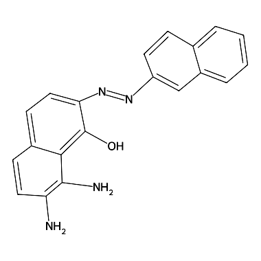 Nc1ccc2ccc(N=Nc3ccc4ccccc4c3)c(O)c2c1N